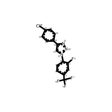 Fc1cc(C(F)(F)F)ccc1-n1cc(-c2ccc(Cl)cc2)nn1